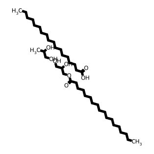 CC(O)CO.CCCCCCCCCCCCCCCCCC(=O)O.CCCCCCCCCCCCCCCCCC(=O)OCC(O)CO